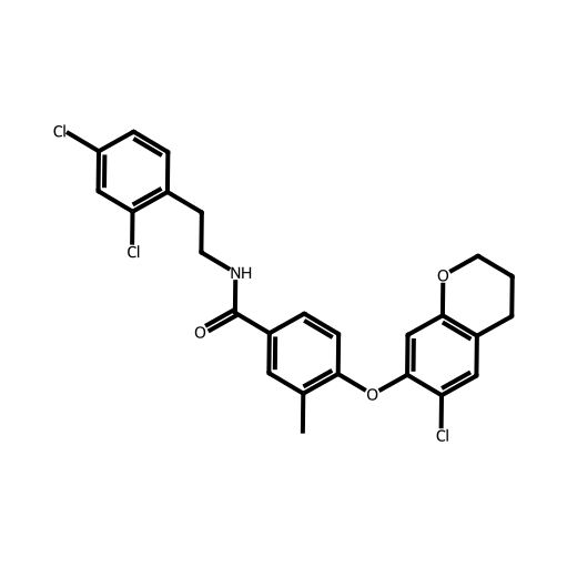 Cc1cc(C(=O)NCCc2ccc(Cl)cc2Cl)ccc1Oc1cc2c(cc1Cl)CCCO2